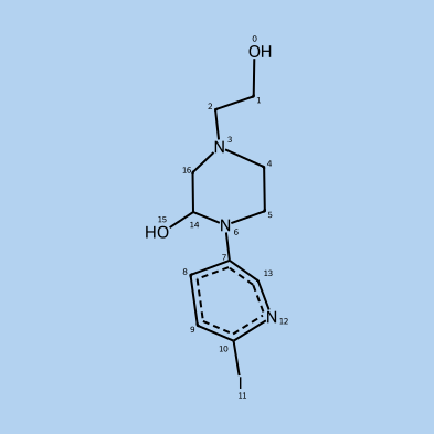 OCCN1CCN(c2ccc(I)nc2)C(O)C1